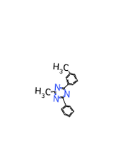 Cc1cccc(-c2nc(C)nc(-c3ccccc3)n2)c1